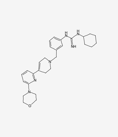 N=C(Nc1cccc(CN2CC=C(c3cccc(N4CCOCC4)n3)CC2)c1)NC1CCCCC1